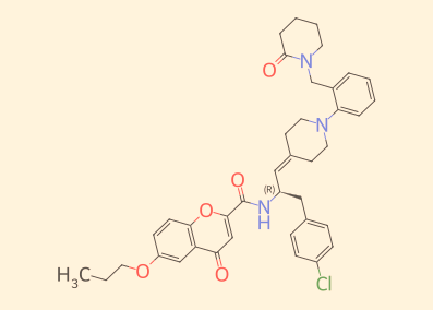 CCCOc1ccc2oc(C(=O)N[C@@H](C=C3CCN(c4ccccc4CN4CCCCC4=O)CC3)Cc3ccc(Cl)cc3)cc(=O)c2c1